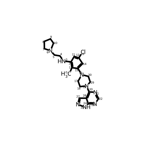 Cc1c(NCCN2CCCC2)cc(Cl)cc1N1CCN(c2ncnc3[nH]ncc23)CC1